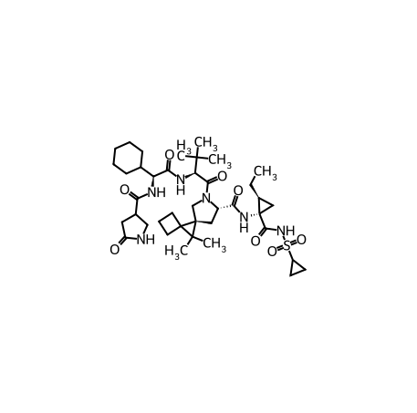 CC[C@H]1C[C@@]1(NC(=O)[C@@H]1C[C@@]2(CN1C(=O)[C@@H](NC(=O)[C@@H](NC(=O)C1CNC(=O)C1)C1CCCCC1)C(C)(C)C)C(C)(C)C21CCC1)C(=O)NS(=O)(=O)C1CC1